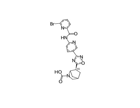 O=C(Nc1ccc(-c2noc([C@H]3CC4CC3N(C(=O)O)C4)n2)cn1)c1cccc(Br)n1